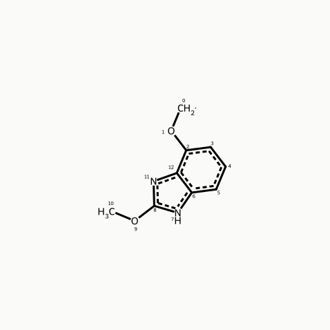 [CH2]Oc1cccc2[nH]c(OC)nc12